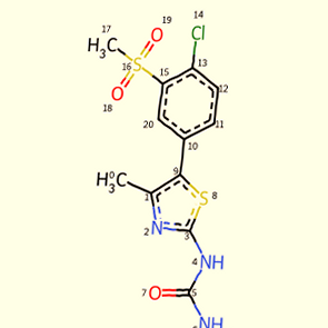 Cc1nc(NC(N)=O)sc1-c1ccc(Cl)c(S(C)(=O)=O)c1